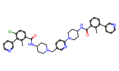 Cc1c(C(=O)NC2CCN(c3ccc(CN4CCC(NC(=O)c5ccc(Cl)c(-c6cccnc6)c5C)CC4)cn3)CC2)cccc1-c1cccnc1